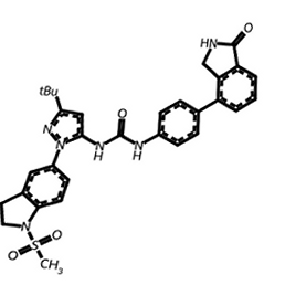 CC(C)(C)c1cc(NC(=O)Nc2ccc(-c3cccc4c3CNC4=O)cc2)n(-c2ccc3c(c2)CCN3S(C)(=O)=O)n1